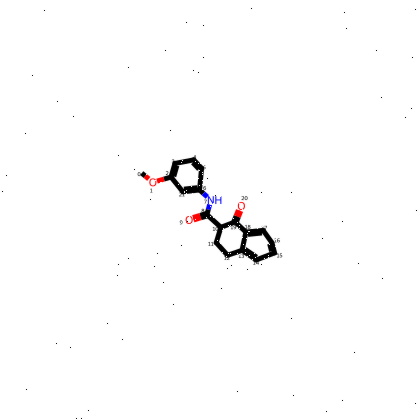 COc1cccc(NC(=O)C2CCc3ccccc3C2=O)c1